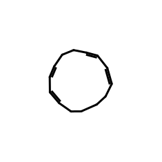 C1=CCCC=CC=CCCCCC=C1